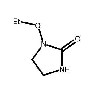 [CH2]CON1CCNC1=O